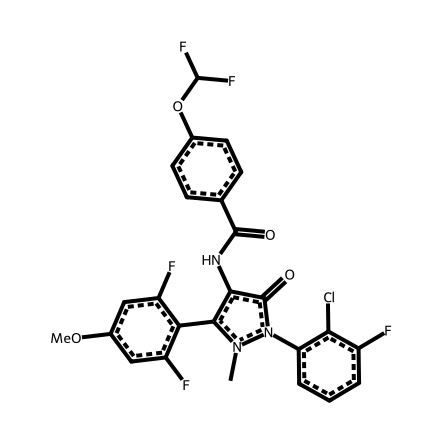 COc1cc(F)c(-c2c(NC(=O)c3ccc(OC(F)F)cc3)c(=O)n(-c3cccc(F)c3Cl)n2C)c(F)c1